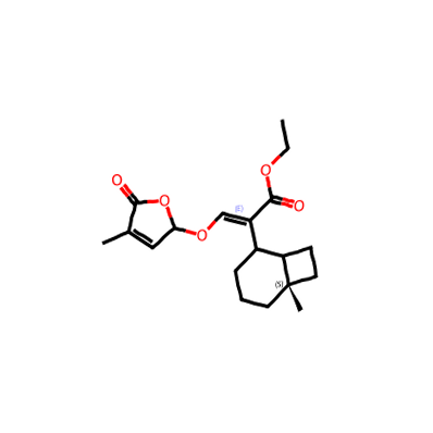 CCOC(=O)/C(=C/OC1C=C(C)C(=O)O1)C1CCC[C@@]2(C)CCC12